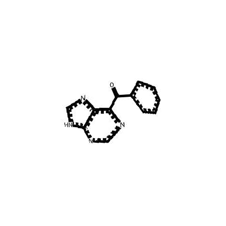 O=C(c1ccccc1)c1ncnc2[nH]cnc12